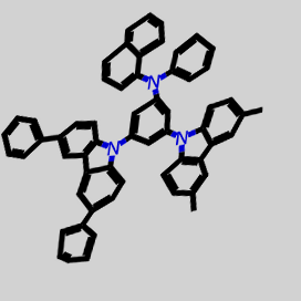 Cc1ccc2c(c1)c1cc(C)ccc1n2-c1cc(N(c2ccccc2)c2cccc3ccccc23)cc(-n2c3ccc(-c4ccccc4)cc3c3cc(-c4ccccc4)ccc32)c1